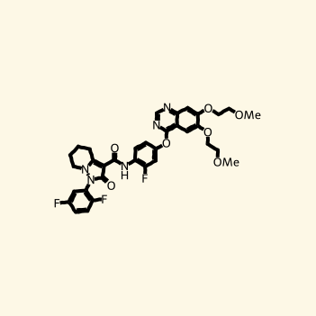 COCCOc1cc2ncnc(Oc3ccc(NC(=O)c4c5n(n(-c6cc(F)ccc6F)c4=O)CCCC5)c(F)c3)c2cc1OCCOC